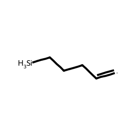 [CH]=CCCC[SiH3]